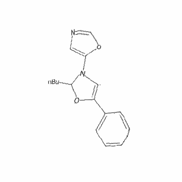 CCCCC1OC(c2ccccc2)=[C]N1c1cnco1